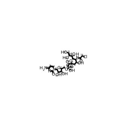 Nc1ccn(C2OC(COP(=O)(O)O[C@@]3(C=O)C[C@@H](O)[C@@H](NC(=O)CCl)C([C@H](O)[C@H](O)CO)O3)[C@@H](O)[C@H]2O)c(=O)n1